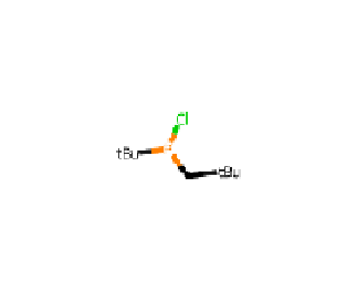 CC(C)(C)CP(Cl)C(C)(C)C